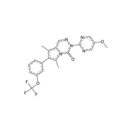 COc1cnc(-n2ncc3c(C)c(-c4cccc(OC(F)(F)F)c4)c(C)n3c2=O)nc1